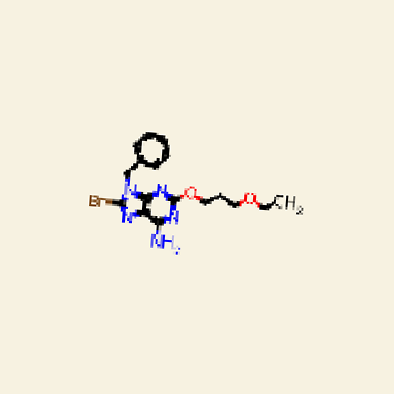 CCOCCCOc1nc(N)c2nc(Br)n(Cc3ccccc3)c2n1